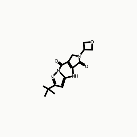 CC(C)(C)c1cc2[nH]c3c(c(=O)n2n1)CN(C1COC1)C3=O